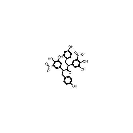 O=C(C(Cc1ccc(O)cc1)c1cc(O)c(O)c([N+](=O)[O-])c1)C(Cc1ccc(O)cc1)c1cc(O)c(O)c([N+](=O)[O-])c1